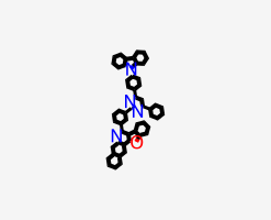 c1ccc(-c2cc(-c3ccc(-n4c5ccccc5c5ccccc54)cc3)nc(-c3cccc(-c4nc5cc6ccccc6cc5c5oc6ccccc6c45)c3)n2)cc1